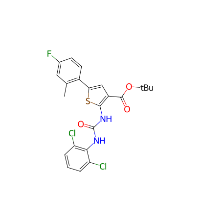 Cc1cc(F)ccc1-c1cc(C(=O)OC(C)(C)C)c(NC(=O)Nc2c(Cl)cccc2Cl)s1